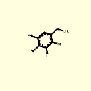 [2H]c1cc(CC)c([2H])c([2H])c1[2H]